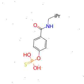 CC(C)CNC(=O)c1ccc(OP(O)(O)=S)cc1